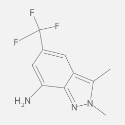 Cc1c2cc(C(F)(F)F)cc(N)c2nn1C